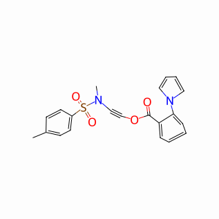 Cc1ccc(S(=O)(=O)N(C)C#COC(=O)c2ccccc2-n2cccc2)cc1